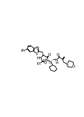 C=C(CN1CCOCC1)C(=O)NC[C@@H](NC(=O)[C@H](Cc1nc2ccc(C(C)C)cc2s1)NC(=O)CC)C1CCCCC1